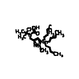 CCC[CH2][Sn]([CH2]CCC)([CH2]CCC)[c]1cc(CN(C(=O)O)C(C)(C)C)nn1C